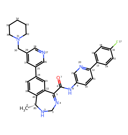 C[C@H]1NCN=C(C(=O)Nc2ccc(-c3ccc(F)cc3)nc2)c2cc(-c3cncc(CN4CCCCC4)c3)ccc21